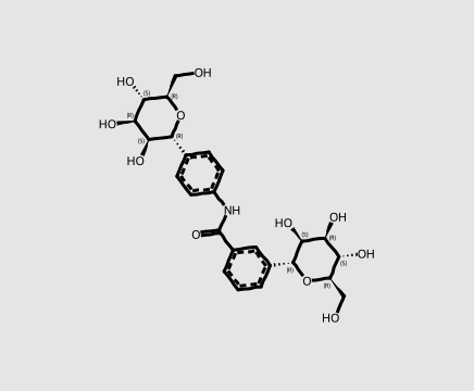 O=C(Nc1ccc([C@H]2O[C@H](CO)[C@@H](O)[C@H](O)[C@@H]2O)cc1)c1cccc([C@H]2O[C@H](CO)[C@@H](O)[C@H](O)[C@@H]2O)c1